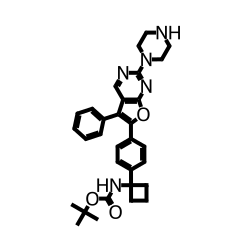 CC(C)(C)OC(=O)NC1(c2ccc(-c3oc4nc(N5CCNCC5)ncc4c3-c3ccccc3)cc2)CCC1